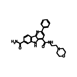 NC(=O)c1ccc2c(c1)[nH]c1c(C(=O)NCCN3CCOCC3)cc(-c3ccccc3)nc12